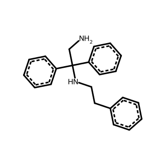 NCC(NCCc1ccccc1)(c1ccccc1)c1ccccc1